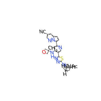 CC(=O)N[C@@H]1[C@@H]2C[C@H]1CN(c1nnc(-c3cnc(-c4ccc5cc(C#N)cnn45)cc3NC3(C)COC3)s1)C2